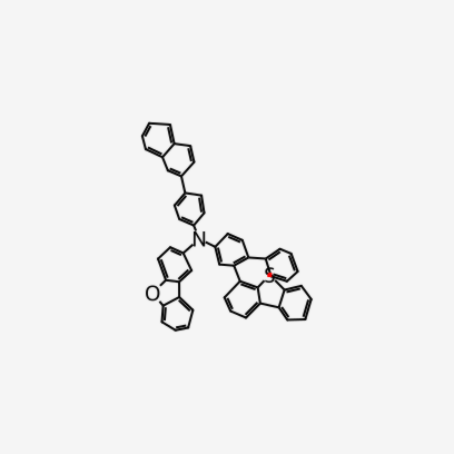 c1ccc(-c2ccc(N(c3ccc(-c4ccc5ccccc5c4)cc3)c3ccc4oc5ccccc5c4c3)cc2-c2cccc3c2sc2ccccc23)cc1